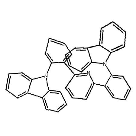 c1cc(-c2ccccc2-n2c3ccccc3c3ccccc32)nc(-c2ccccc2-n2c3ccccc3c3ccccc32)c1